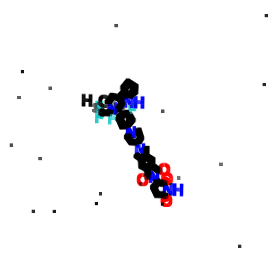 C[C@@H]1Cc2c([nH]c3ccccc23)[C@@H](c2c(F)cc(N3CCC(N4Cc5cc6c(cc5C4)C(=O)N(C4CCC(=O)NC4=O)C6=O)CC3)cc2F)N1CC(F)F